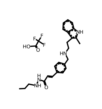 CCCNNC(=O)C=Cc1ccc(CNCCc2c(C)[nH]c3ccccc23)cc1.O=C(O)C(F)(F)F